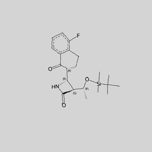 C[C@@H](O[Si](C)(C)C(C)(C)C)[C@H]1C(=O)N[C@@H]1[C@H]1CCc2c(F)cccc2C1=O